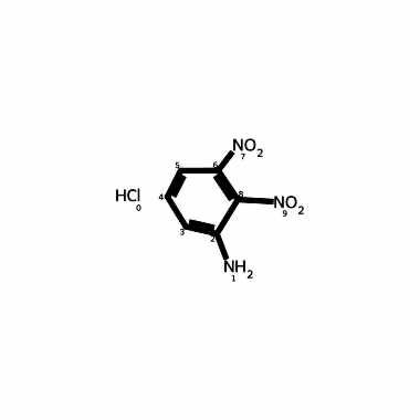 Cl.Nc1cccc([N+](=O)[O-])c1[N+](=O)[O-]